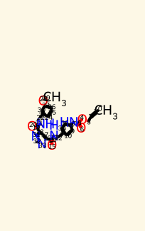 CC#CCOC(=O)Nc1ccc(CNC(=O)c2cc(C(=O)NCc3cccc(OC)c3)ncn2)cc1